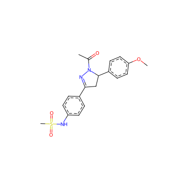 COc1ccc(C2CC(c3ccc(NS(C)(=O)=O)cc3)=NN2C(C)=O)cc1